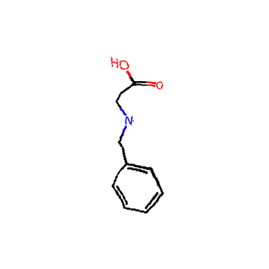 O=C(O)C[N]Cc1ccccc1